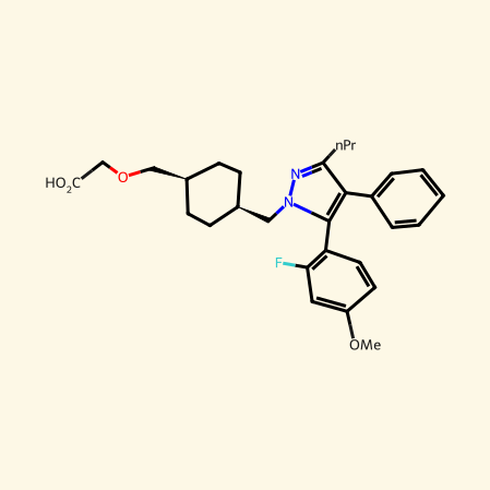 CCCc1nn(C[C@H]2CC[C@@H](COCC(=O)O)CC2)c(-c2ccc(OC)cc2F)c1-c1ccccc1